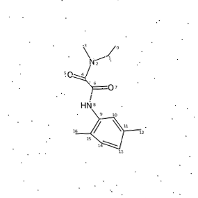 CCN(C)C(=O)C(=O)Nc1cc(C)ccc1C